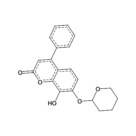 O=c1cc(-c2ccccc2)c2ccc(OC3CCCCO3)c(O)c2o1